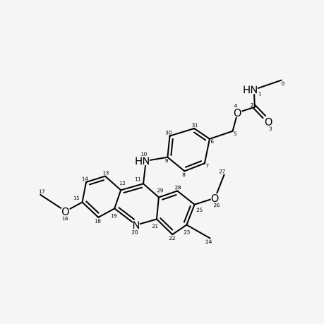 CNC(=O)OCc1ccc(Nc2c3ccc(OC)cc3nc3cc(C)c(OC)cc23)cc1